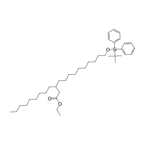 CCCCCCCCCC(CCCCCCCCCCO[Si](c1ccccc1)(c1ccccc1)C(C)(C)C)CC(=O)OCC